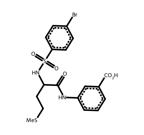 CSCCC(NS(=O)(=O)c1ccc(Br)cc1)C(=O)Nc1cccc(C(=O)O)c1